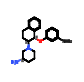 CC(=O)Nc1cccc(O[C@H]2c3ccccc3CC[C@@H]2N2CCC[C@H](N)C2)c1